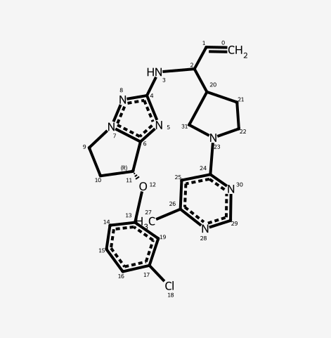 C=CC(Nc1nc2n(n1)CC[C@H]2Oc1cccc(Cl)c1)C1CCN(c2cc(C)ncn2)C1